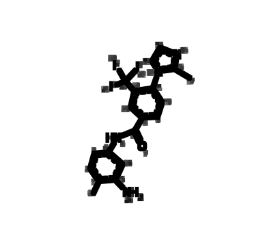 Cc1ccc(NC(=O)c2ccc(-n3ccnc3C)c(C(F)(F)F)c2)cc1N